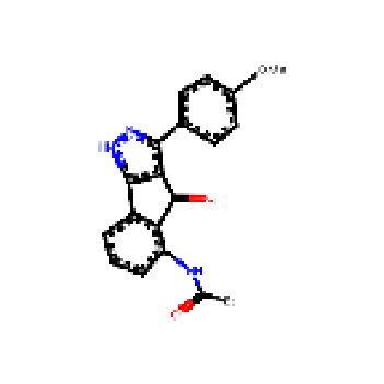 CCC(=O)Nc1cccc2c1C(=O)c1c(-c3ccc(OC)cc3)n[nH]c1-2